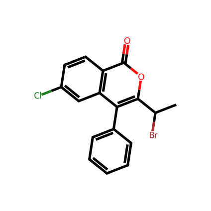 CC(Br)c1oc(=O)c2ccc(Cl)cc2c1-c1ccccc1